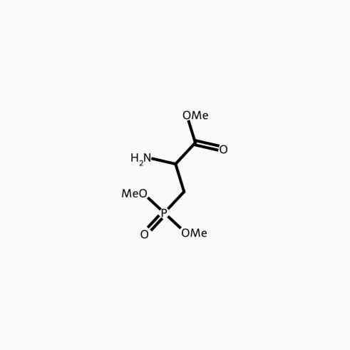 COC(=O)C(N)CP(=O)(OC)OC